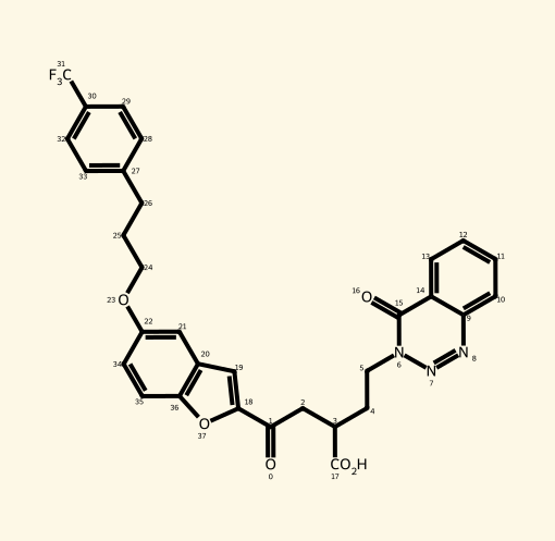 O=C(CC(CCn1nnc2ccccc2c1=O)C(=O)O)c1cc2cc(OCCCc3ccc(C(F)(F)F)cc3)ccc2o1